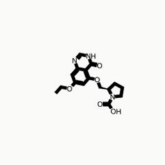 CCOc1cc(OC[C@H]2CCCN2C(=O)O)c2c(=O)[nH]cnc2c1